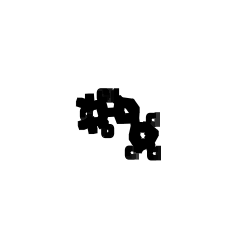 CCc1ccc(-c2cc(Cl)c(Cl)cc2Cl)cc1C1=C(O)C(C)(C)OC(C)(C)C1=O